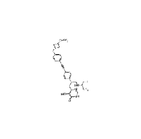 COC1CN(Cc2ccc(C#Cc3ccc([C@@H](CN[C@H](C)CF)Cc4nc[nH]c(=O)c4O)cc3)cc2)C1